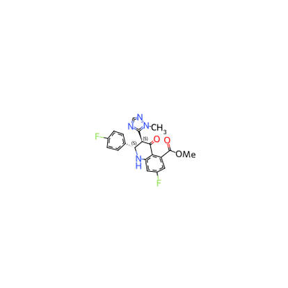 COC(=O)c1cc(F)cc2c1C(=O)[C@H](c1ncnn1C)[C@@H](c1ccc(F)cc1)N2